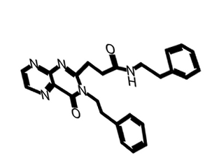 O=C(CCc1nc2nccnc2c(=O)n1CCc1ccccc1)NCCc1ccccc1